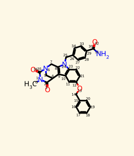 CN1C(=O)C2CN(Cc3c2c2cc(OCc4ccccc4)ccc2n3Cc2ccc(C(N)=O)cc2)C1=O